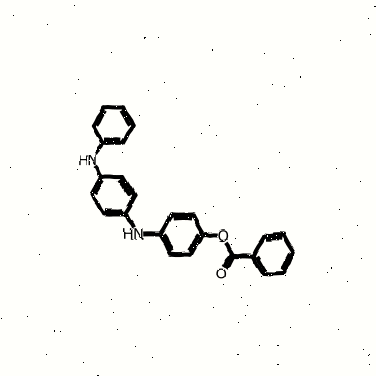 O=C(Oc1ccc(Nc2ccc(Nc3ccccc3)cc2)cc1)c1ccccc1